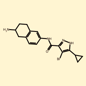 NC1CCc2cc(NC(=O)c3n[nH]c(C4CC4)c3Br)ccc2C1